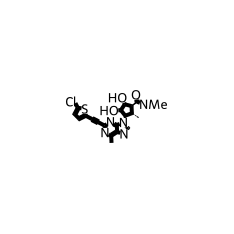 CNC(=O)[C@@H]1C(O)C(O)[C@H](n2cnc3c(C)nc(C#Cc4ccc(Cl)s4)nc32)[C@H]1C